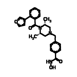 C[C@@H]1CN(Cc2ccc(C(=O)NO)cc2)C[C@H](C)N1C(=O)c1ccccc1-c1ccoc1